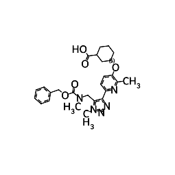 Cc1nc(-c2nnn(C)c2CN(C)C(=O)OCc2ccccc2)ccc1O[C@H]1CCCC(C(=O)O)C1